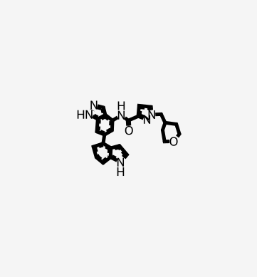 O=C(Nc1cc(-c2cccc3[nH]ccc23)cc2[nH]ncc12)c1ccn(CC2CCOCC2)n1